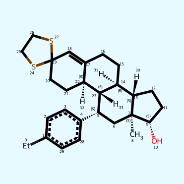 CCc1ccc([C@H]2C[C@]3(C)[C@@H](O)CC[C@H]3[C@@H]3CCC4=CC5(CC[C@@H]4[C@H]32)SCCS5)cc1